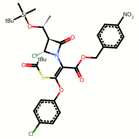 C[C@@H](O[Si](C)(C)C(C)(C)C)[C@H]1C(=O)N(C(C(=O)OCc2ccc([N+](=O)[O-])cc2)=C(Oc2ccc(Cl)cc2)SC(=O)C(C)(C)C)[C@@H]1Cl